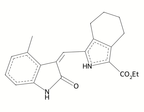 CCOC(=O)c1[nH]c(C=C2C(=O)Nc3cccc(C)c32)c2c1CCCC2